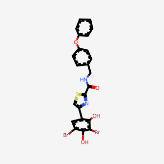 O=C(NCc1ccc(Oc2ccccc2)cc1)c1nc(-c2cc(Br)c(O)c(Br)c2O)cs1